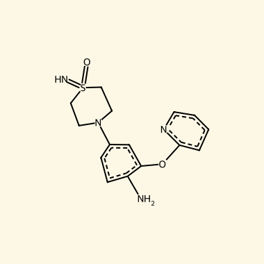 N=S1(=O)CCN(c2ccc(N)c(Oc3ccccn3)c2)CC1